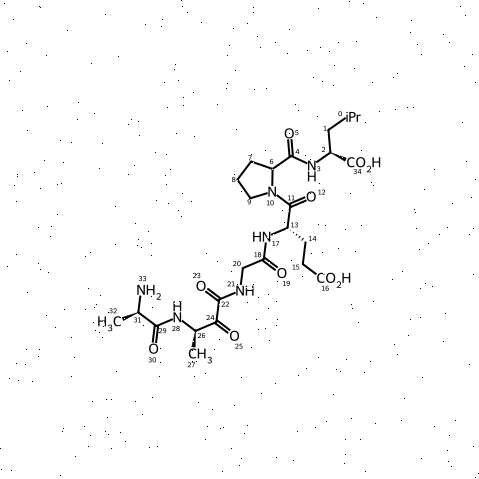 CC(C)C[C@H](NC(=O)C1CCCN1C(=O)[C@H](CCC(=O)O)NC(=O)CNC(=O)C(=O)[C@@H](C)NC(=O)[C@@H](C)N)C(=O)O